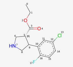 CCOC(=O)[C@H]1CNCC1c1cc(Cl)ccc1F